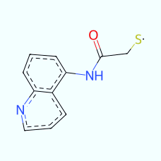 O=C(C[S])Nc1cccc2ncccc12